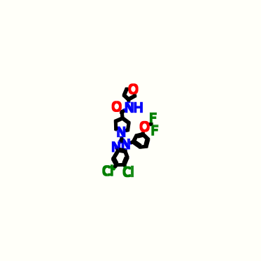 O=C(NC1CCOC1)C1CCN(c2nc3cc(Cl)c(Cl)cc3n2-c2cccc(OC(F)F)c2)CC1